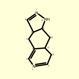 C1=NC=C2CC3C=NNC3CC2C1